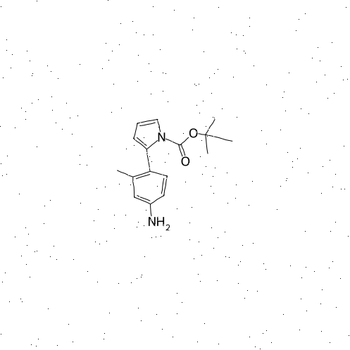 Cc1cc(N)ccc1-c1cccn1C(=O)OC(C)(C)C